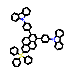 c1ccc(S(c2ccccc2)(c2ccccc2)c2cc3ccc4c(-c5ccc(-n6c7ccccc7c7ccccc76)cc5)cc(-c5ccc(-n6c7ccccc7c7ccccc76)cc5)c5ccc(c2)c3c45)cc1